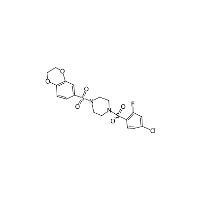 O=S(=O)(c1ccc2c(c1)OCCO2)N1CCN(S(=O)(=O)c2ccc(Cl)cc2F)CC1